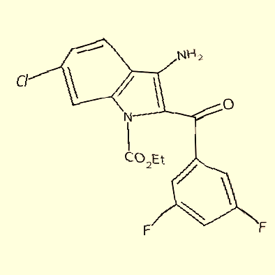 CCOC(=O)n1c(C(=O)c2cc(F)cc(F)c2)c(N)c2ccc(Cl)cc21